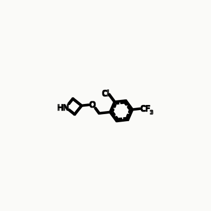 FC(F)(F)c1ccc(COC2CNC2)c(Cl)c1